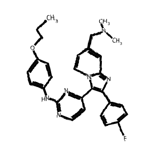 CCCOc1ccc(Nc2nccc(-c3c(-c4ccc(F)cc4)nc4cc(CN(C)C)ccn34)n2)cc1